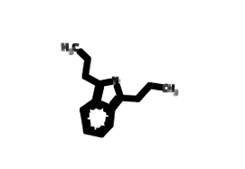 CCCC1=c2ccccc2=C(CCC)[N]1